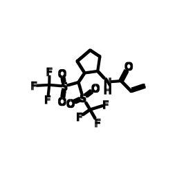 C=CC(=O)NC1CCCC1C(S(=O)(=O)C(F)(F)F)S(=O)(=O)C(F)(F)F